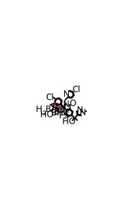 BC(B)(O)C1(C(B)(B)O[C@]2(c3ccc(Cl)cc3)c3c(F)cc(C(C)(O)c4cnn(C)c4)cc3C(=O)N2Cc2ccc(Cl)cn2)CC1